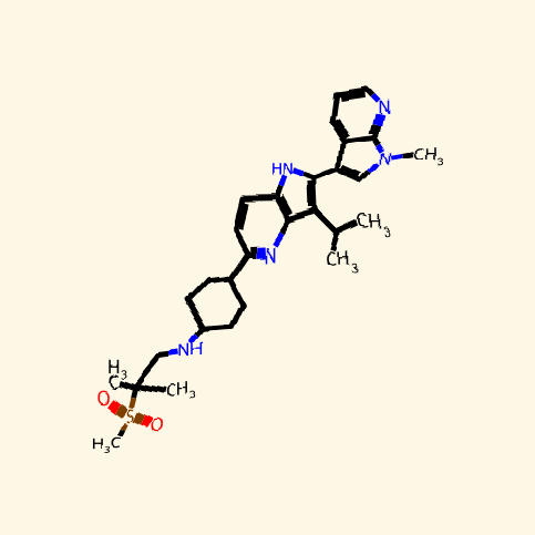 CC(C)c1c(-c2cn(C)c3ncccc23)[nH]c2ccc(C3CCC(NCC(C)(C)S(C)(=O)=O)CC3)nc12